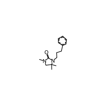 CN1CC(C)(C)N(CCCc2ccccc2)C1=O